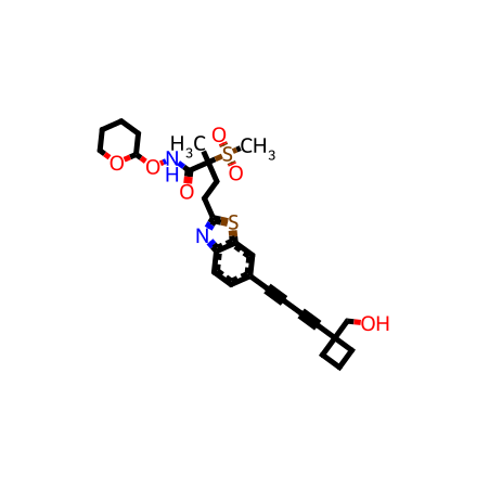 CC(CCc1nc2ccc(C#CC#CC3(CO)CCC3)cc2s1)(C(=O)NOC1CCCCO1)S(C)(=O)=O